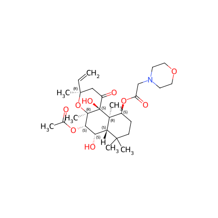 C=C[C@@]1(C)CC(=O)[C@]2(O)[C@@]3(C)[C@@H](OC(=O)CN4CCOCC4)CCC(C)(C)[C@@H]3[C@H](O)[C@H](OC(C)=O)[C@@]2(C)O1